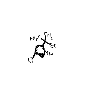 CCC(C)(C)c1cc(Cl)c[nH]1